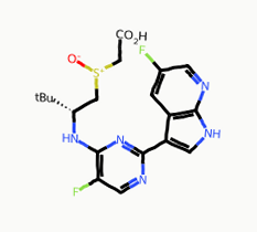 CC(C)(C)[C@H](C[S+]([O-])CC(=O)O)Nc1nc(-c2c[nH]c3ncc(F)cc23)ncc1F